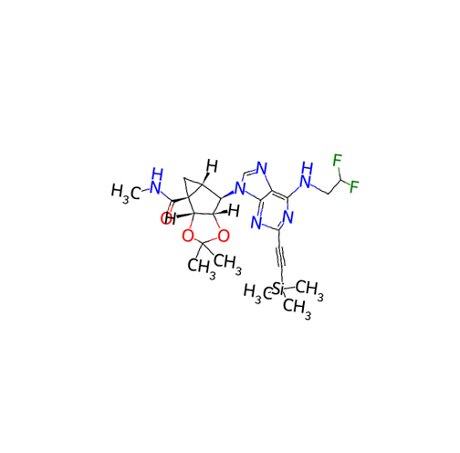 CNC(=O)[C@@]12C[C@@H]1[C@@H](n1cnc3c(NCC(F)F)nc(C#C[Si](C)(C)C)nc31)[C@@H]1OC(C)(C)O[C@@H]12